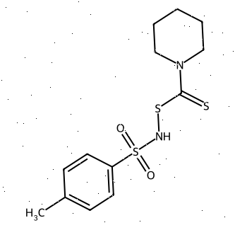 Cc1ccc(S(=O)(=O)NSC(=S)N2CCCCC2)cc1